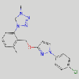 Cc1cccc(N2CN(C)N=N2)c1COc1ccn(-c2ccc(Cl)cc2)n1